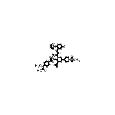 CN(C(=O)O)c1ccc(-c2c[nH]c(C3C(C4CC4)CC(C4CCN(S(C)(=O)=O)CC4)CN3C(=O)/C=C/c3cc(Cl)ccc3-n3cnnn3)n2)cc1